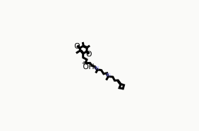 CC1=C(C)C(=O)C(CC[C@](C)(O)CC/C=C(\C)CC/C=C(\C)CCC=C2CCC2)=C(C)C1=O